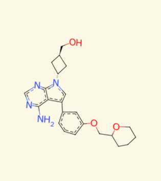 Nc1ncnc2c1c(-c1cccc(OCC3CCCCO3)c1)cn2[C@H]1C[C@H](CO)C1